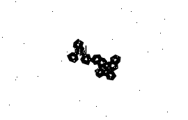 c1ccc(-n2c(-c3cccc(-c4ccc5cc6c(cc5c4)C4(c5ccccc5-c5ccccc54)c4ccc5ccccc5c4-6)c3)nc3ccccc32)cc1